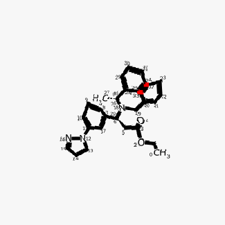 CCOC(=O)C[C@@H](c1cccc(-n2cccn2)c1)N(Cc1ccccc1)[C@H](C)c1ccccc1